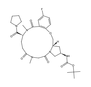 CN1CC(=O)N2C[C@H](NC(=O)OC(C)(C)C)C[C@H]2COc2ccc(F)cc2C(=O)N(C)[C@H](C(=O)N2CCCC2)CCC1=O